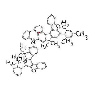 Cc1cc(C)c(-c2cc3c(c4c2oc2ccccc24)-c2ccc(N(c4ccc5c(c4)C(C)(C)c4c6c(c7oc8ccccc8c7c4-5)-c4ccccc4C6(C)C)c4ccccc4-c4ccccc4)cc2C3(C)C)c(C)c1